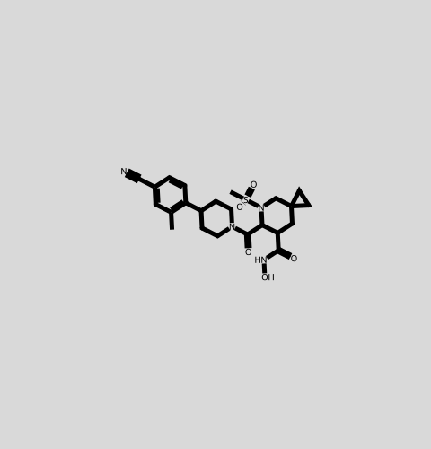 Cc1cc(C#N)ccc1C1CCN(C(=O)C2C(C(=O)NO)CC3(CC3)CN2S(C)(=O)=O)CC1